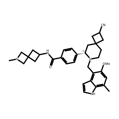 COc1cc(C)c2[nH]ccc2c1CN1CCC2(CC(C#N)C2)C[C@H]1c1ccc(C(=O)NC2CC3(C2)CN(C)C3)cc1